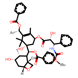 CC(=O)O[C@@]12CO[C@@H]1C[C@H](O)[C@H](C)C2[C@H](OC(=O)c1ccccc1)[C@]1(O)C[C@H](OC(=O)[C@H](O)[C@@H](NC(=O)OC(C)(C)C)c2ccccc2)C(C)=C([C@@H](OC(=O)c2ccccc2)C(C)=O)C1(C)C